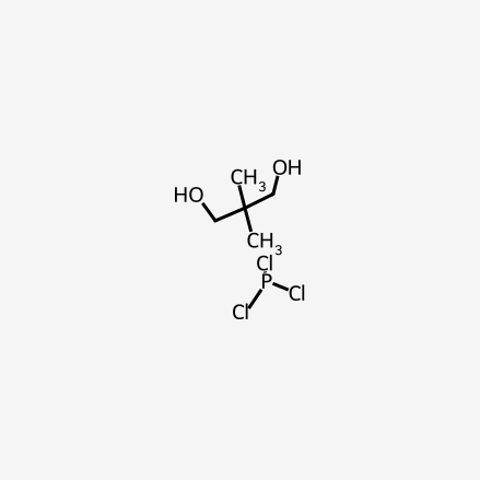 CC(C)(CO)CO.ClP(Cl)Cl